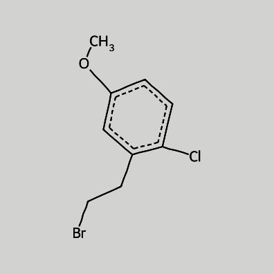 COc1ccc(Cl)c(CCBr)c1